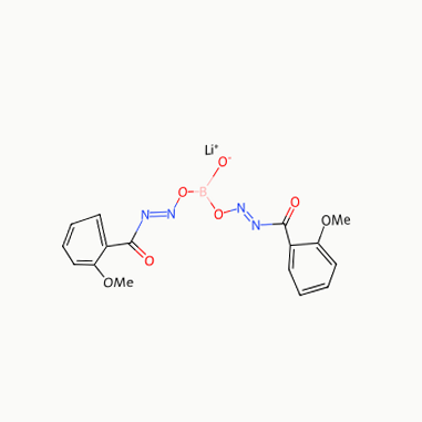 COc1ccccc1C(=O)N=NOB([O-])ON=NC(=O)c1ccccc1OC.[Li+]